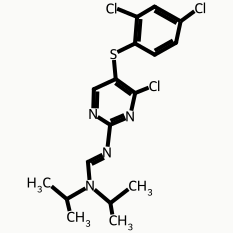 CC(C)N(C=Nc1ncc(Sc2ccc(Cl)cc2Cl)c(Cl)n1)C(C)C